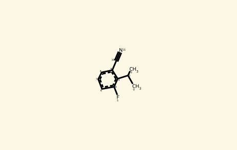 CC(C)c1c(F)cccc1C#N